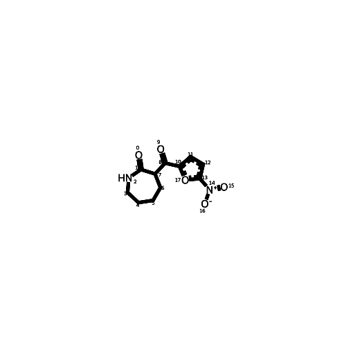 O=C1NCCCCC1C(=O)c1ccc([N+](=O)[O-])o1